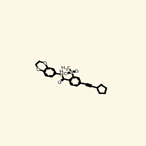 CS(=O)(=O)c1cc(C#CC2CCCC2)ccc1C(=O)Nc1ccc2c(c1)OCCO2